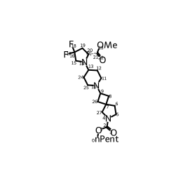 CCCCCOC(=O)N1CCC2(CC(N3CCC(N4CC(F)(F)C[C@@H]4C(=O)OC)CC3)C2)C1